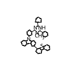 CN1C(c2cccc(-n3c4ccccc4c4cc(-c5cccc6c5sc5ccccc56)ccc43)c2)N=C(c2ccccc2)NC1c1ccccc1